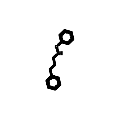 c1ccc(CCCNOc2ccccc2)cc1